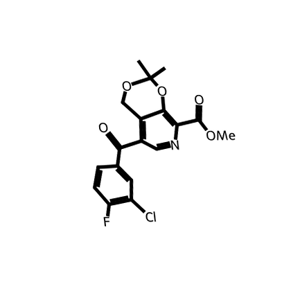 COC(=O)c1ncc(C(=O)c2ccc(F)c(Cl)c2)c2c1OC(C)(C)OC2